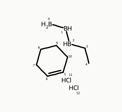 BBBCC.C1=CCCCC1.Cl.Cl